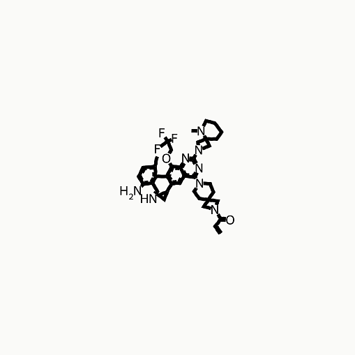 C=CC(=O)N1CC2(CCN(c3nc(N4CC5(CCCCN5C)C4)nc4c(OCC(F)(F)F)c(-c5c(C)ccc(N)c5C=N)c(C5CC5)cc34)CC2)C1